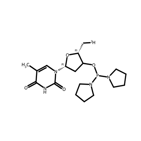 [2H]C[C@H]1O[C@@H](n2cc(C)c(=O)[nH]c2=O)CC1OP(N1CCCC1)N1CCCC1